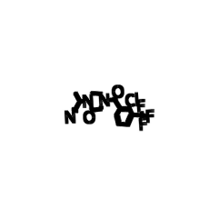 CC(C#N)N1CCN(C(=O)c2cccc(C(F)(F)F)c2Cl)CC1=O